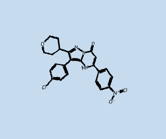 O=c1cc(-c2ccc([N+](=O)[O-])cc2)[nH]c2c(-c3ccc(Cl)cc3)c(C3CCOCC3)nn12